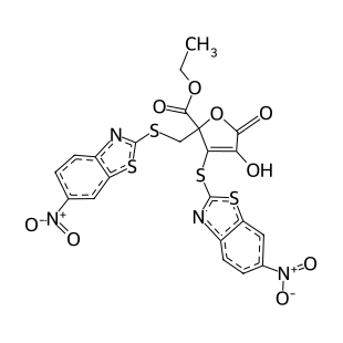 CCOC(=O)C1(CSc2nc3ccc([N+](=O)[O-])cc3s2)OC(=O)C(O)=C1Sc1nc2ccc([N+](=O)[O-])cc2s1